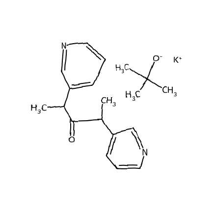 CC(C(=O)C(C)c1cccnc1)c1cccnc1.CC(C)(C)[O-].[K+]